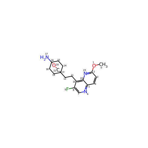 COc1ccc2ncc(F)c(CCC34CCC(N)(CC3)OC4)c2n1